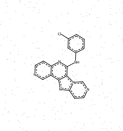 Clc1cccc(Nc2nc3ccncc3c3nc4ccncn4c23)c1